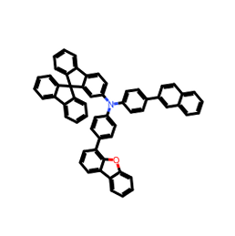 c1ccc2c(c1)-c1ccccc1C21c2ccccc2-c2ccc(N(c3ccc(-c4ccc5ccccc5c4)cc3)c3ccc(-c4cccc5c4oc4ccccc45)cc3)cc21